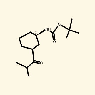 CC(C)C(=O)C1CCC[C@@H](NC(=O)OC(C)(C)C)C1